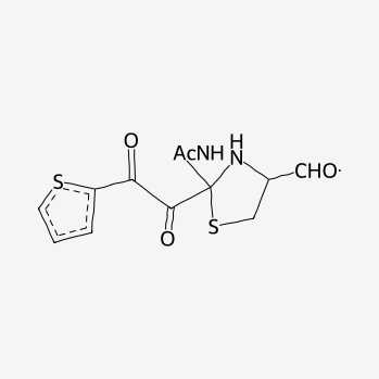 CC(=O)NC1(C(=O)C(=O)c2cccs2)NC([C]=O)CS1